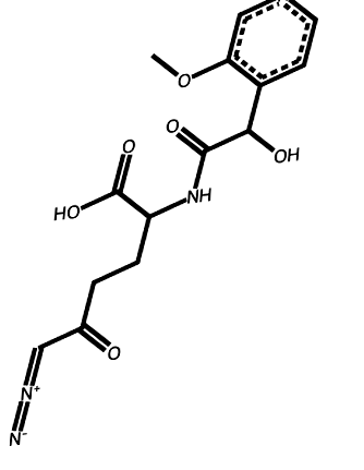 COc1cnccc1C(O)C(=O)NC(CCC(=O)C=[N+]=[N-])C(=O)O